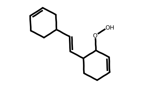 OOC1C=CCCC1C=CC1CC=CCC1